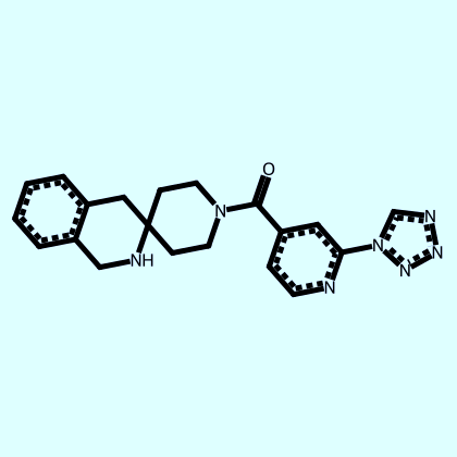 O=C(c1ccnc(-n2cnnn2)c1)N1CCC2(CC1)Cc1ccccc1CN2